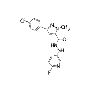 Cn1nc(-c2ccc(Cl)cc2)cc1C(=O)NNc1ccc(F)nc1